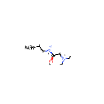 CNCCNC(=O)CN(C)C